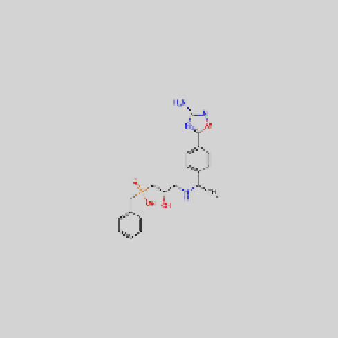 CC(NC[C@@H](O)CP(=O)(O)Cc1ccccc1)c1ccc(-c2nc(N)no2)cc1